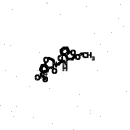 CCOC(=O)CC(NC(=O)CN1CCOc2ccc([N+](=O)[O-])cc2C1=O)c1ccccc1